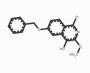 O=C(O)Oc1nc(Cl)c2ccc(OCc3ccccc3)cc2c1O